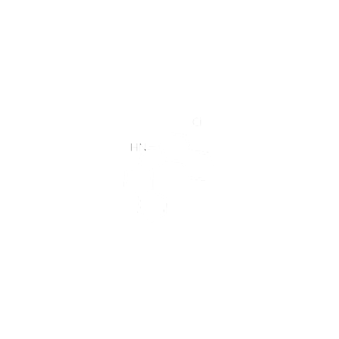 Clc1cc2[nH]c3ccc4ccccc4c3c2c2ccccc12